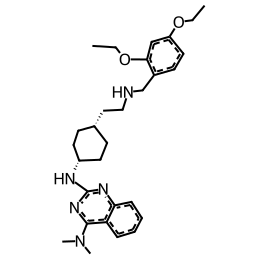 CCOc1ccc(CNCC[C@H]2CC[C@@H](Nc3nc(N(C)C)c4ccccc4n3)CC2)c(OCC)c1